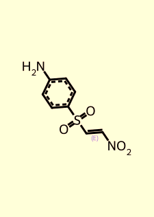 Nc1ccc(S(=O)(=O)/C=C/[N+](=O)[O-])cc1